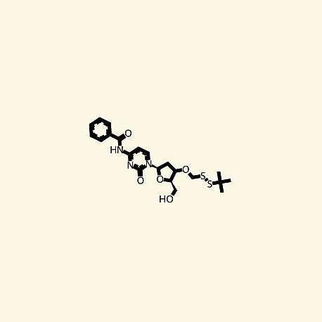 CC(C)(C)SSCOC1C[C@H](n2ccc(NC(=O)c3ccccc3)nc2=O)O[C@@H]1CO